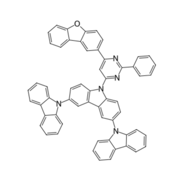 c1ccc(-c2nc(-c3ccc4oc5ccccc5c4c3)cc(-n3c4ccc(-n5c6ccccc6c6ccccc65)cc4c4cc(-n5c6ccccc6c6ccccc65)ccc43)n2)cc1